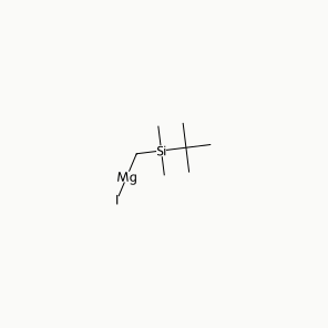 CC(C)(C)[Si](C)(C)[CH2][Mg][I]